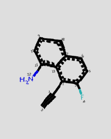 C#Cc1c(F)ccc2cccc(N)c12